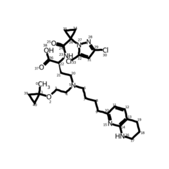 CC1(OCCN(CCCCc2ccc3c(n2)NCCC3)CC[C@H](NC(=O)C2(n3nc(Cl)cc3Cl)CC2)C(=O)O)CC1